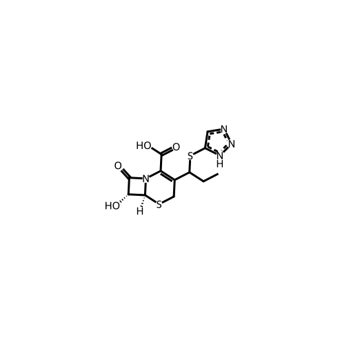 CCC(Sc1cnn[nH]1)C1=C(C(=O)O)N2C(=O)[C@@H](O)[C@@H]2SC1